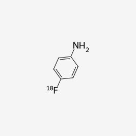 Nc1ccc([18F])cc1